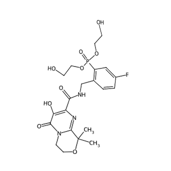 CC1(C)OCCn2c1nc(C(=O)NCc1ccc(F)cc1P(=O)(OCCO)OCCO)c(O)c2=O